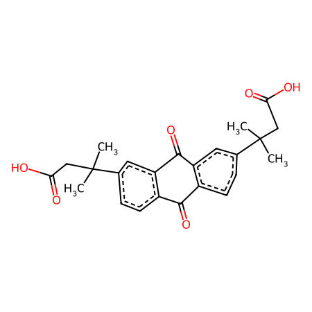 CC(C)(CC(=O)O)c1ccc2c(c1)C(=O)c1cc(C(C)(C)CC(=O)O)ccc1C2=O